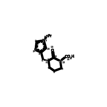 CCCn1cnc(C[C@H]2CCCN(C(=O)O)C2=O)c1